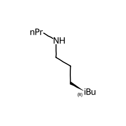 CCCNCCC[C@H](C)CC